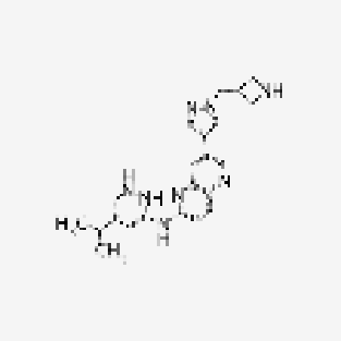 CC(C)C1=CNNC(Nc2ccc3ncc(-c4cnn(CC5CNC5)c4)cc3n2)=C1